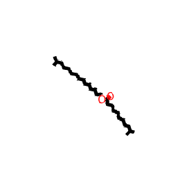 CC(C)CCCCCCCCCCCCCOC(=O)CCCCCCCCC(C)C